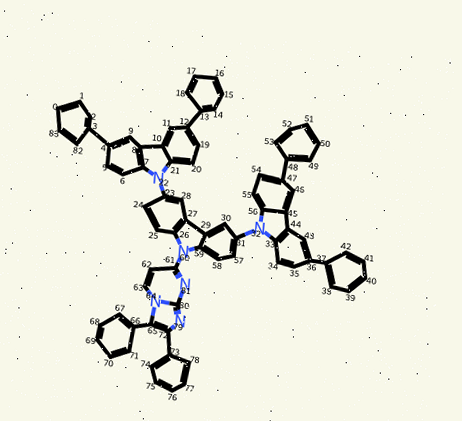 c1ccc(-c2ccc3c(c2)c2cc(-c4ccccc4)ccc2n3-c2ccc3c(c2)c2cc(-n4c5ccc(-c6ccccc6)cc5c5cc(-c6ccccc6)ccc54)ccc2n3-c2ccn3c(-c4ccccc4)c(-c4ccccc4)nc3n2)cc1